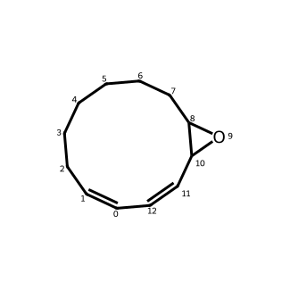 C1=CCCCCCCC2OC2C=C1